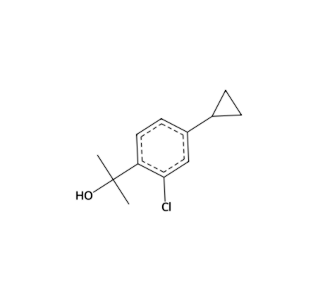 CC(C)(O)c1ccc(C2CC2)cc1Cl